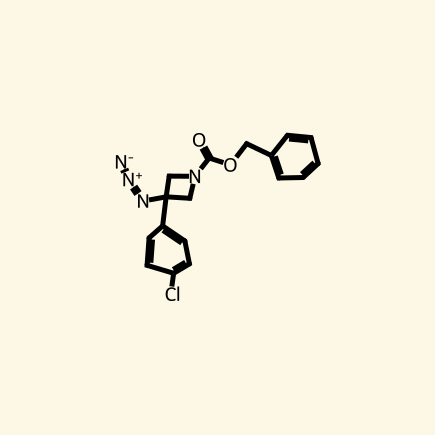 [N-]=[N+]=NC1(c2ccc(Cl)cc2)CN(C(=O)OCc2ccccc2)C1